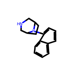 c1ccc2c(N3C4CCC3CNC4)cccc2c1